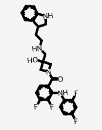 O=C(c1ccc(F)c(F)c1Nc1ccc(F)cc1F)N1CC(O)(CNCCC2CNc3ccccc32)C1